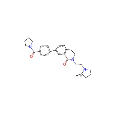 C[C@@H]1CCCN1CCN1CCc2ccc(-c3ccc(C(=O)N4CCCC4)cc3)cc2C1=O